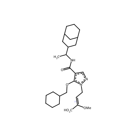 CO/C(=C\Cn1ncc(C(=O)NC(C)C2CC3CCCC(C3)C2)c1OCC1CCCCC1)C(=O)O